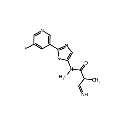 CC(C=N)C(=O)N(C)c1cnc(-c2cncc(F)c2)s1